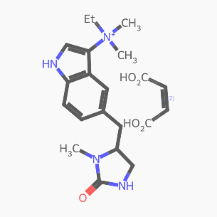 CC[N+](C)(C)c1c[nH]c2ccc(CC3CNC(=O)N3C)cc12.O=C(O)/C=C\C(=O)O